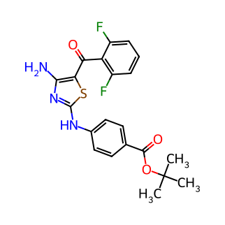 CC(C)(C)OC(=O)c1ccc(Nc2nc(N)c(C(=O)c3c(F)cccc3F)s2)cc1